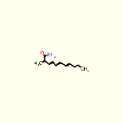 C=C(C=CC=CC=CCCC)C(N)=O